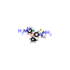 CC(=O)N(C(N)=S)c1ccc(Oc2ccnc(N)c2)c(F)c1.c1cc2cc-2c1